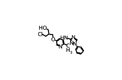 Cc1ncc(OCC(CO)CCl)cc1Nc1ncn(-c2ccccc2)n1